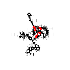 CC[C@@]1(O)C(=O)OCc2c1cc1n(c2=O)Cc2c-1nc1cc(F)c(C)c3c1c2[C@@H](NC(=O)O[C@H](CNC(=O)CC[C@H](NC(=O)COCCOCCNC(=O)CCN1C(=O)C=CC1=O)C(=O)N(C)CC(=O)N(C)CC(=O)N(C)CC(=O)N(C)CC(=O)N(C)CC(=O)N(C)CC(=O)N(C)CC(=O)N(C)CC(=O)N(C)CC(=O)N(C)CC(=O)O)c1ccc(NC(=O)[C@H](C)NC(=O)[C@@H](NC(C)=O)C(C)C)cc1)CC3